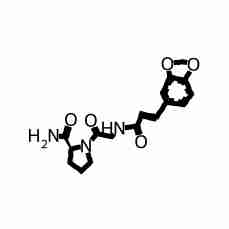 NC(=O)[C@@H]1CCCN1C(=O)CNC(=O)C=Cc1ccc2c(c1)OCO2